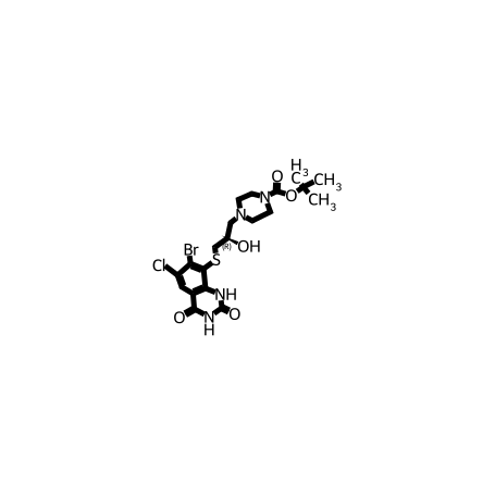 CC(C)(C)OC(=O)N1CCN(C[C@@H](O)CSc2c(Br)c(Cl)cc3c(=O)[nH]c(=O)[nH]c23)CC1